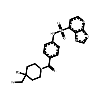 CC(C)CC1(O)CCN(C(=O)c2ccc(NS(=O)(=O)c3ccnc4scnc34)cc2)CC1